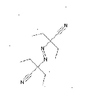 CCC(C#N)(CC)N=NC(C#N)(CC)CC